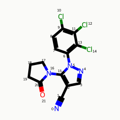 N#Cc1cnn(-c2ccc(Cl)c(Cl)c2Cl)c1N1CCCC1=O